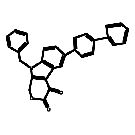 O=C1OCc2c(c3cc(-c4ccc(-c5ccccc5)cc4)ccc3n2Cc2ccccc2)C1=O